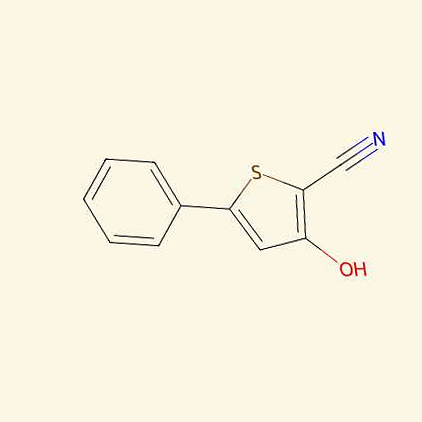 N#Cc1sc(-c2ccccc2)cc1O